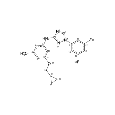 Cc1cc(Nc2ncn(-c3cc(F)cc(F)c3)n2)cc(OCC2CC2)c1